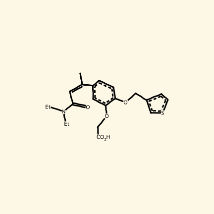 CCN(CC)C(=O)/C=C(/C)c1ccc(OCc2ccsc2)c(OCC(=O)O)c1